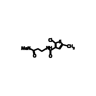 CNC(=O)CCNC(=O)c1cc(C)sc1Cl